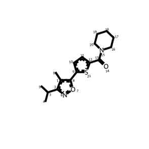 Cc1c(C(C)C)noc1-c1ccc(C(=O)N2CCCCC2)s1